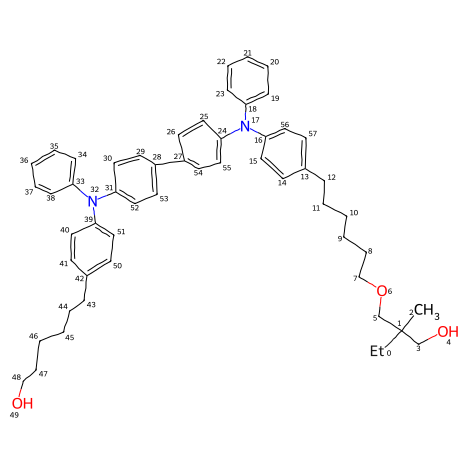 CCC(C)(CO)COCCCCCCc1ccc(N(c2ccccc2)c2ccc(-c3ccc(N(c4ccccc4)c4ccc(CCCCCCO)cc4)cc3)cc2)cc1